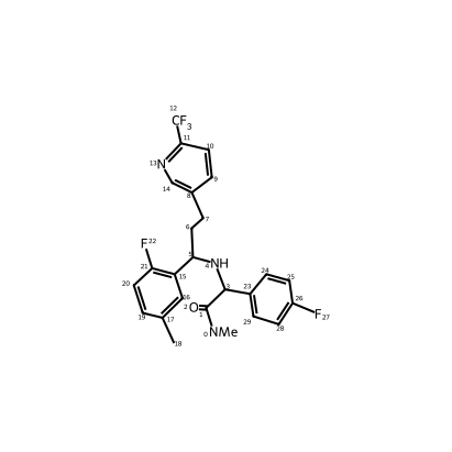 CNC(=O)C(NC(CCc1ccc(C(F)(F)F)nc1)c1cc(C)ccc1F)c1ccc(F)cc1